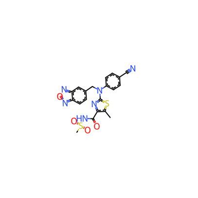 Cc1sc(N(Cc2ccc3nonc3c2)c2ccc(C#N)cc2)nc1C(=O)NS(C)(=O)=O